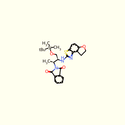 C[C@@H]([C@@H](CO[Si](C)(C)C(C)(C)C)Nc1nc2c3c(ccc2s1)OCC3)N1C(=O)c2ccccc2C1=O